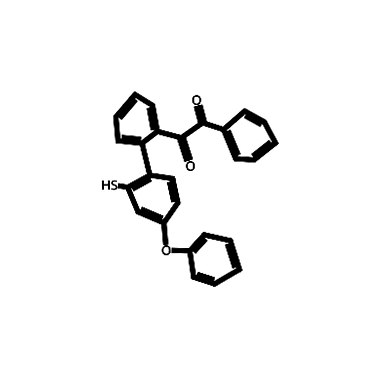 O=C(C(=O)c1ccccc1-c1ccc(Oc2ccccc2)cc1S)c1ccccc1